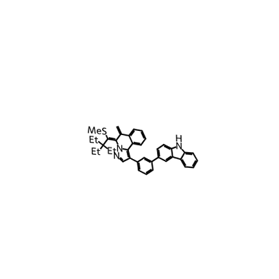 C=c1/c(=C(\SC)C(CC)(CC)CC)n2ncc(-c3cccc(-c4ccc5[nH]c6ccccc6c5c4)c3)c2c2ccccc12